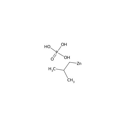 CC(C)[CH2][Zn].O=P(O)(O)O